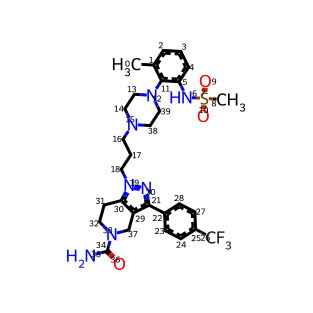 Cc1cccc(NS(C)(=O)=O)c1N1CCN(CCCn2nc(-c3ccc(C(F)(F)F)cc3)c3c2CCN(C(N)=O)C3)CC1